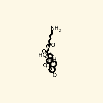 C[C@]12C=CC(=O)C=C1CC[C@@H]1[C@@H]2C(=O)C[C@@]2(C)[C@H]1CC[C@]2(O)C(=O)COC(=O)CCCCCN